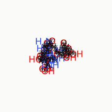 CC(=O)N[C@@H](CCC(=O)O)C(=O)N[C@@H](Cc1c[nH]cn1)C(=O)N[C@H](C(=O)N[C@@H](C)C(=O)N[C@@H](C)C(=O)N[C@@H](C)C(=O)N[C@@H](CCCCNC(=O)c1ccc(C(=O)O)c(-c2c3ccc(=O)cc-3oc3cc(O)ccc23)c1)C(N)=O)[C@@H](C)O